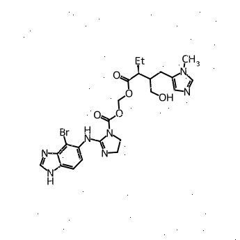 CC[C@H](C(=O)OCOC(=O)N1CCN=C1Nc1ccc2[nH]cnc2c1Br)C(CO)Cc1cncn1C